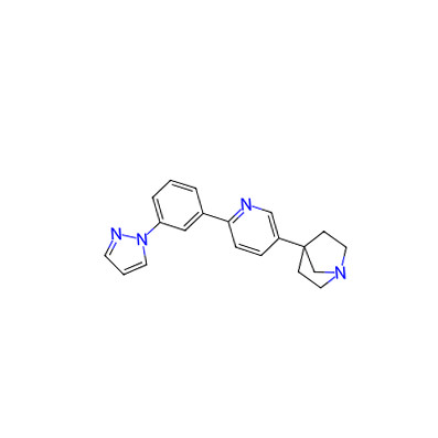 c1cc(-c2ccc(C34CCN(CC3)C4)cn2)cc(-n2cccn2)c1